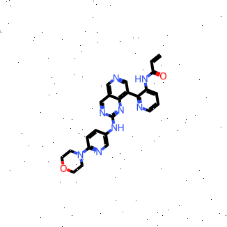 C=CC(=O)Nc1cccnc1-c1cncc2cnc(Nc3ccc(N4CCOCC4)nc3)nc12